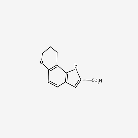 O=C(O)c1cc2ccc3c(c2[nH]1)CCCO3